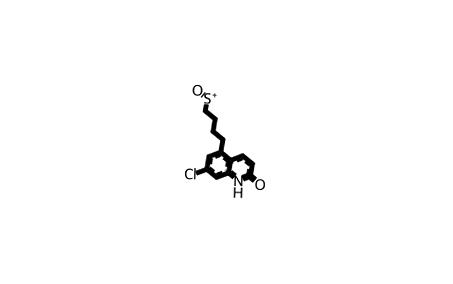 O=[S+]CCCCc1cc(Cl)cc2[nH]c(=O)ccc12